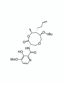 C=CCC[C@H]1[C@H](C)OC(=O)[C@@H](NC(=O)c2nccc(OC)c2O)COC[C@@H]1OCCCC